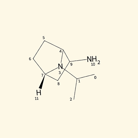 CC(C)N1C2CC[C@H]1CC2N